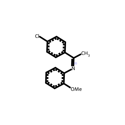 COc1ccccc1/N=C(/C)c1ccc(Cl)cc1